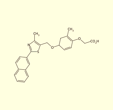 CC1=C(OCC(=O)O)C=CC(OCc2sc(-c3ccc4ccccc4c3)nc2C)C1